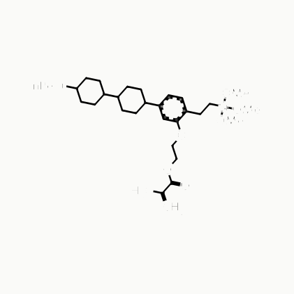 C=C(C)C(=O)OCCOc1cc(C2CCC(C3CCC(CCCCC)CC3)CC2)ccc1CC[Si](OC)(OC)OC